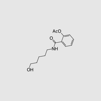 CC(=O)Oc1ccccc1C(=O)NCCCCCO